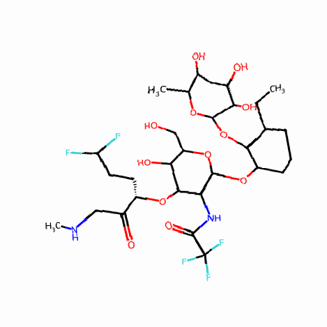 CCC1CCCC(OC2OC(CO)C(O)C(O[C@@H](CCC(F)F)C(=O)CNC)C2NC(=O)C(F)(F)F)C1OC1OC(C)C(O)C(O)C1O